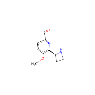 COc1ccc(C=O)nc1[C@@H]1CCN1